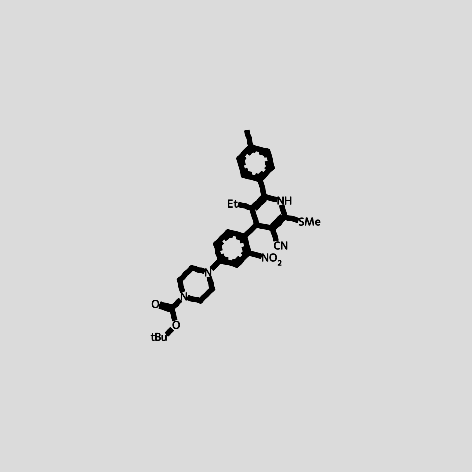 CCC1=C(c2ccc(C)cc2)NC(SC)=C(C#N)C1c1ccc(N2CCN(C(=O)OC(C)(C)C)CC2)cc1[N+](=O)[O-]